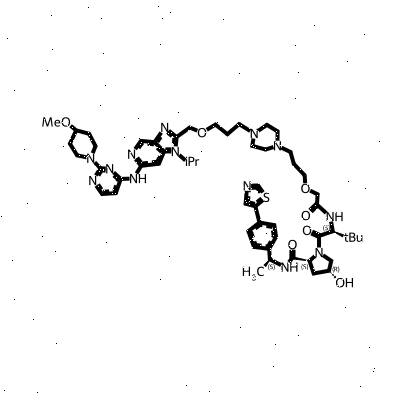 COC1CCN(c2nccc(Nc3cc4c(cn3)nc(COCCCN3CCN(CCCOCC(=O)N[C@H](C(=O)N5C[C@H](O)C[C@H]5C(=O)N[C@@H](C)c5ccc(-c6cncs6)cc5)C(C)(C)C)CC3)n4C(C)C)n2)CC1